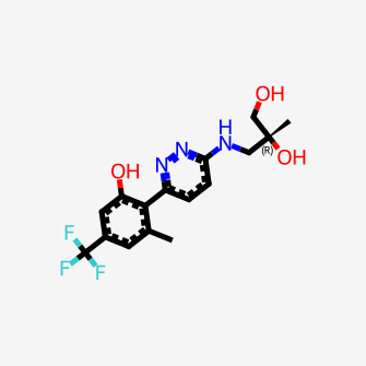 Cc1cc(C(F)(F)F)cc(O)c1-c1ccc(NC[C@@](C)(O)CO)nn1